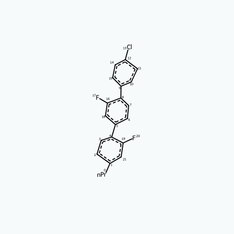 CCCc1ccc(-c2ccc(-c3ccc(Cl)cc3)c(F)c2)c(F)c1